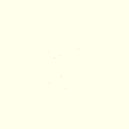 CCN(CC)c1ccc(C(=O)c2cc(C)c3ccc(C)nc3c2O)cc1